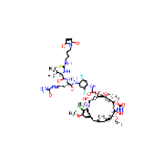 COc1cc2cc(c1Cl)N(C)C(O)C[C@H](OC(=O)Nc1cc(F)c(NC(=O)[C@H](CCCNC(N)=O)NC(=O)[C@@H](NC(=S)NCCCCN3C(=O)C=CC3=O)C(C)C)cc1F)[C@]1(C)O[C@H]1[C@H](C)[C@@H]1C[C@@](O)(NC(=O)O1)[C@H](OC)/C=C/C=C(\C)C2